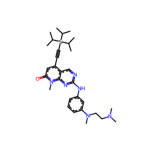 CC(C)[Si](C#Cc1cc(=O)n(C)c2nc(Nc3cccc(N(C)CCN(C)C)c3)ncc12)(C(C)C)C(C)C